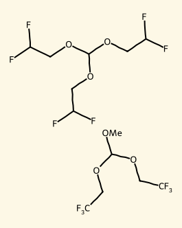 COC(OCC(F)(F)F)OCC(F)(F)F.FC(F)COC(OCC(F)F)OCC(F)F